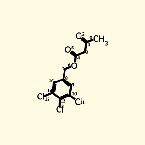 CC(=O)CC(=O)OCc1cc(Cl)c(Cl)c(Cl)c1